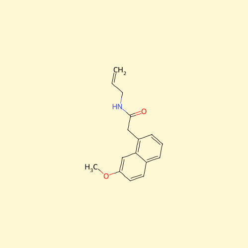 C=CCNC(=O)Cc1cccc2ccc(OC)cc12